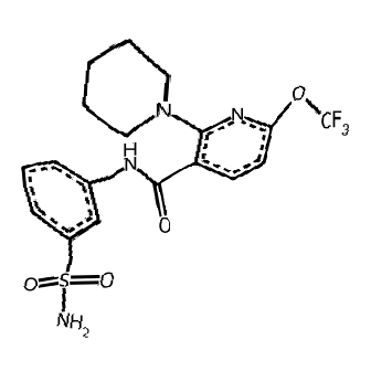 NS(=O)(=O)c1cccc(NC(=O)c2ccc(OC(F)(F)F)nc2N2CCCCC2)c1